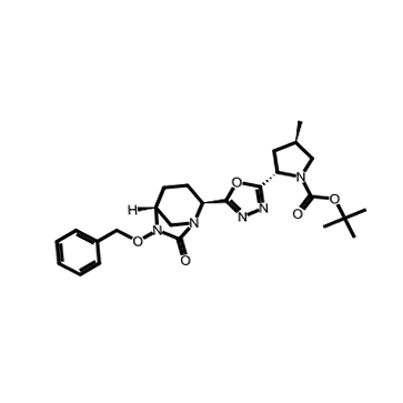 C[C@@H]1C[C@@H](c2nnc([C@@H]3CC[C@@H]4CN3C(=O)N4OCc3ccccc3)o2)N(C(=O)OC(C)(C)C)C1